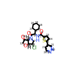 O=C(N[C@H](C(=O)N1C[C@H](Cl)[C@H]2OCC(=O)[C@H]21)C1CCCCC1)c1ccc(-c2ccnnc2)s1